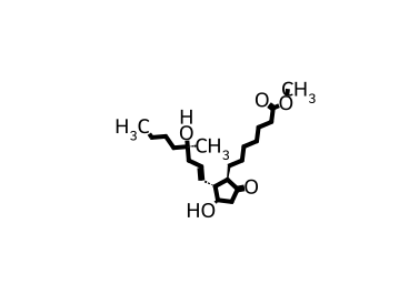 CCCC[C@@](C)(O)C/C=C/[C@H]1[C@H](O)CC(=O)[C@@H]1CCCCCCC(=O)OC